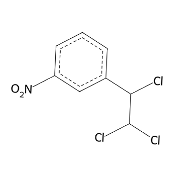 O=[N+]([O-])c1cccc(C(Cl)C(Cl)Cl)c1